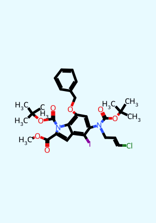 COC(=O)c1cc2c(I)c(N(C/C=C/Cl)C(=O)OC(C)(C)C)cc(OCc3ccccc3)c2n1C(=O)OC(C)(C)C